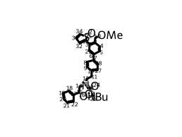 COC(=O)c1ccc(-c2ccc(CCN(C[C@@H](O)c3ccccc3)C(=O)OC(C)(C)C)cc2)cc1-c1cccs1